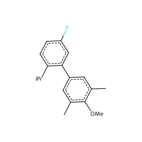 COc1c(C)cc(-c2cc(F)ccc2C(C)C)cc1C